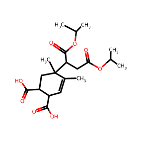 CC1=CC(C(=O)O)C(C(=O)O)CC1(C)C(CC(=O)OC(C)C)C(=O)OC(C)C